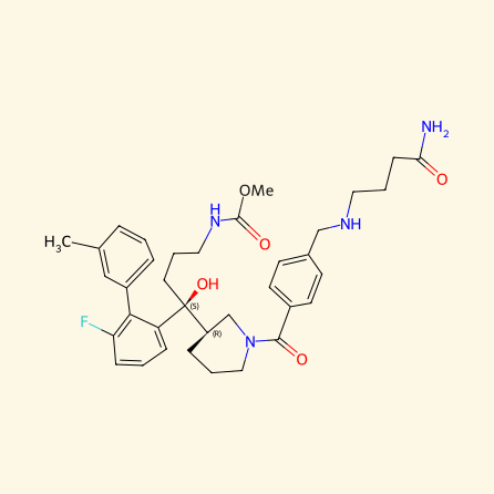 COC(=O)NCCC[C@@](O)(c1cccc(F)c1-c1cccc(C)c1)[C@@H]1CCCN(C(=O)c2ccc(CNCCCC(N)=O)cc2)C1